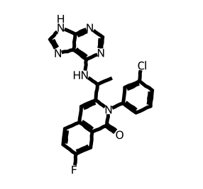 CC(Nc1ncnc2[nH]cnc12)c1cc2ccc(F)cc2c(=O)n1-c1cccc(Cl)c1